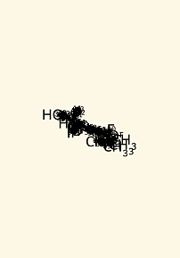 Cc1c([S+](C)[O-])c(-c2cc(F)cc(N3CCN(c4ccc(NSc5ccc(N[C@H](CCN6CCC(O)CC6)CSc6ccccc6)c(S(=O)(=O)C(F)(F)F)c5)cc4)CC3)c2)c(-c2ccc(Cl)cc2)n1C